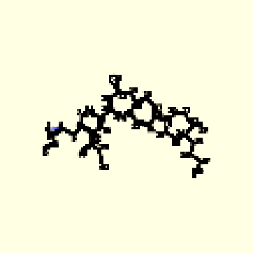 C=C/C(C)=C\Cc1cnc(C2=CC(=O)CC3=CC=C(N4CCC(=C)C(CCCF)CC4)C=CC3=N2)cc1C(=C)CC